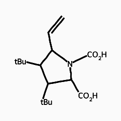 C=CC1C(C(C)(C)C)C(C(C)(C)C)C(C(=O)O)N1C(=O)O